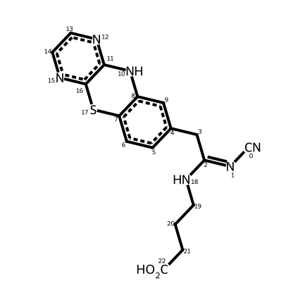 N#C/N=C(\Cc1ccc2c(c1)Nc1nccnc1S2)NCCCC(=O)O